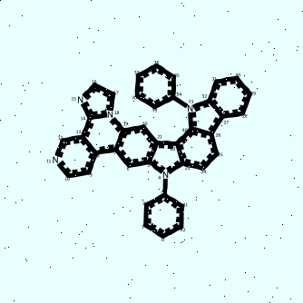 c1ccc(-n2c3cc4c5ccncc5c5nccn5c4cc3c3c2ccc2c4ccccc4n(-c4ccccc4)c23)cc1